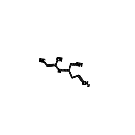 C=CC/C(C=N)=N/C(C#N)=C/C#N